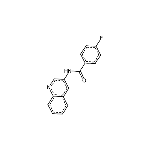 O=C(Nc1cnc2ccccc2c1)c1ccc(F)cc1